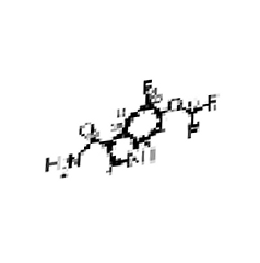 NC(=O)c1c[nH]c2cc(OC(F)F)c(F)cc12